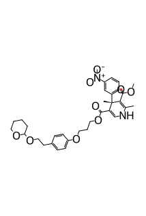 COC(=O)C1=C(C)NC=C(C(=O)OCCCOc2ccc(CCOC3CCCCO3)cc2)[C@]1(C)c1cccc([N+](=O)[O-])c1